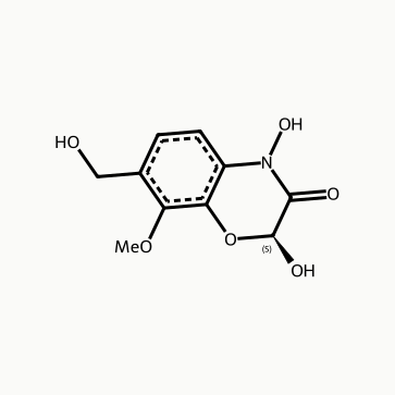 COc1c(CO)ccc2c1O[C@H](O)C(=O)N2O